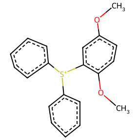 COc1ccc(OC)c([S+](c2ccccc2)c2ccccc2)c1